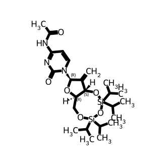 C=C1[C@H](n2ccc(NC(C)=O)nc2=O)O[C@@H]2CO[Si](C(C)C)(C(C)C)O[Si](C(C)C)(C(C)C)O[C@@H]12